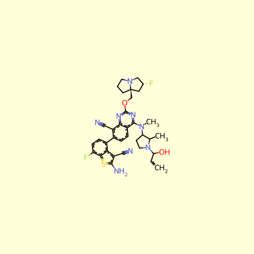 C=CC(O)N1CCC(N(C)c2nc(OC[C@@]34CCCN3C[C@H](F)C4)nc3c(C#N)c(-c4ccc(F)c5sc(N)c(C#N)c45)ccc23)C1C